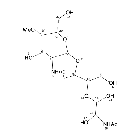 CO[C@H]1C(O)C(NC(C)=O)C(OC(C)C(CO)OC(O)C(O)NC(C)=O)O[C@H]1CO